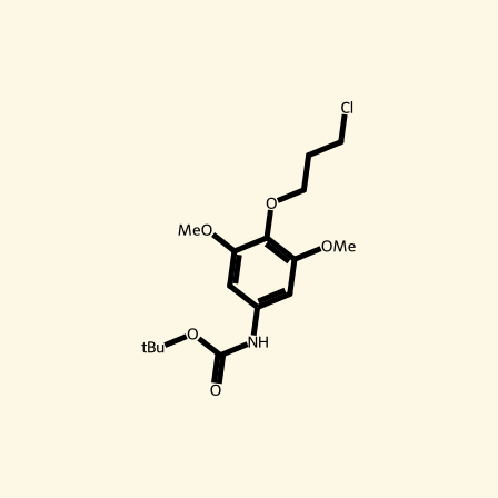 COc1cc(NC(=O)OC(C)(C)C)cc(OC)c1OCCCCl